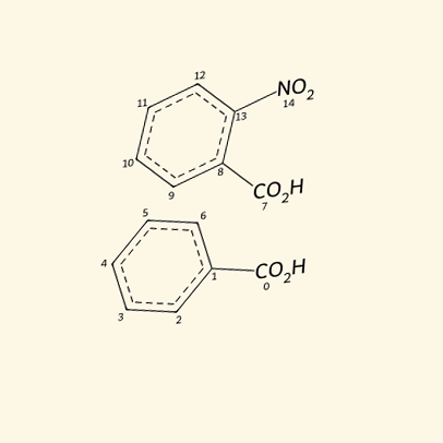 O=C(O)c1ccccc1.O=C(O)c1ccccc1[N+](=O)[O-]